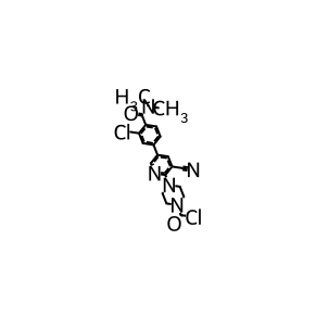 CN(C)C(=O)c1ccc(-c2cnc(N3CCN(C(=O)Cl)CC3)c(C#N)c2)cc1Cl